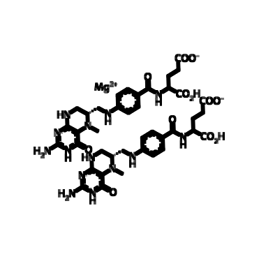 CN1c2c(nc(N)[nH]c2=O)NC[C@@H]1CNc1ccc(C(=O)NC(CCC(=O)[O-])C(=O)O)cc1.CN1c2c(nc(N)[nH]c2=O)NC[C@@H]1CNc1ccc(C(=O)NC(CCC(=O)[O-])C(=O)O)cc1.[Mg+2]